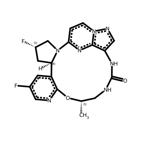 C[C@H]1CNC(=O)Nc2cnn3ccc(nc23)N2C[C@@H](F)C[C@@H]2c2cc(F)cnc2O1